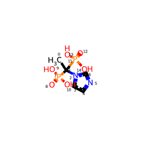 CC(n1ccnc1)(P(=O)(O)O)P(=O)(O)O